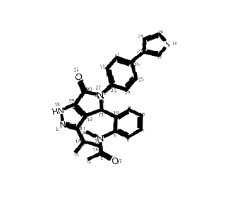 CC(=O)N(C)c1ccccc1C1c2c(C(C)C)n[nH]c2C(=O)N1c1ccc(-c2ccsc2)cc1